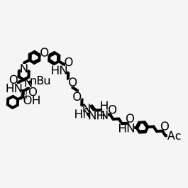 CCCCN1C(=O)[C@@H]([C@@H](O)C2CCCCC2)NC(=O)C12CCN(Cc1ccc(Oc3ccc(C(=O)NCCOCCOCCN4C=C(CNC(=O)CCCC(=O)Nc5ccc(CCC(=O)CC(C)=O)cc5)NN4)cc3)cc1)CC2